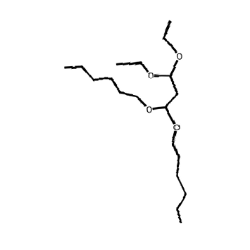 CCCCCCOC(C[C](OCC)OCC)OCCCCCC